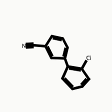 N#Cc1cccc(-c2ccc[c]c2Cl)c1